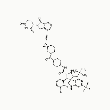 CC(C)(C)C[C@@H]1N[C@@H](C(=O)NC2CCC(C(=O)N3CCC[C@]4(C[C@H]4C#Cc4cccc5c4CN(C4CCC(=O)NC4=O)C5=O)C3)CC2)[C@H](c2cccc(Cl)c2F)[C@]12CNc1cc(C(F)(F)F)ncc12